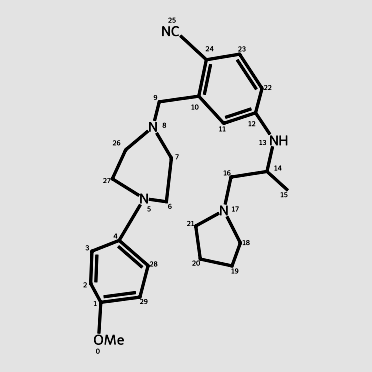 COc1ccc(N2CCN(Cc3cc(NC(C)CN4CCCC4)ccc3C#N)CC2)cc1